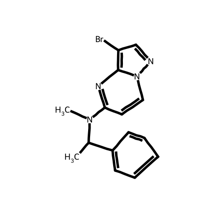 CC(c1ccccc1)N(C)c1ccn2ncc(Br)c2n1